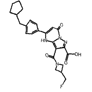 O=C(O)c1nn2c(=O)cc(-c3ccc(CC4CCCC4)cc3)[nH]c2c1C(=O)N1CC(CF)C1